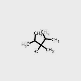 CC(C)C(C)([O])C(C)C